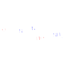 NCC(O)CN1CCN(CC=O)CC1